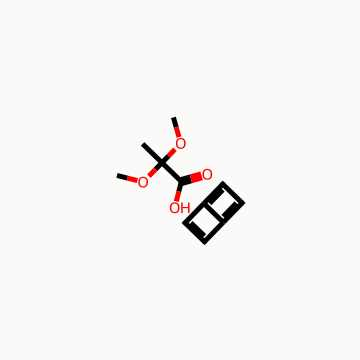 COC(C)(OC)C(=O)O.c1cc2ccc1-2